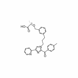 Cc1ccc(C(=O)c2nc(-c3ccccn3)cn2CCCc2cccc(CO[C@@H](C)C(=O)O)c2)cc1